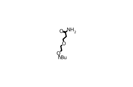 CCCCOCCOCCC(N)=O